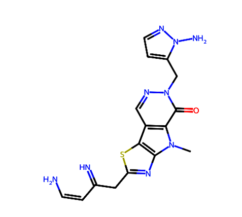 Cn1c2nc(CC(=N)/C=C\N)sc2c2cnn(Cc3ccnn3N)c(=O)c21